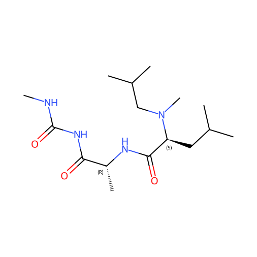 CNC(=O)NC(=O)[C@@H](C)NC(=O)[C@H](CC(C)C)N(C)CC(C)C